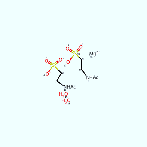 CC(=O)NCCS(=O)(=O)[O-].CC(=O)NCCS(=O)(=O)[O-].O.O.[Mg+2]